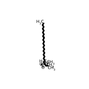 CCCCCCCCC=CCCCCCCCCCCCCCC(CCC)(P(=O)=O)[N+](C)(C)C